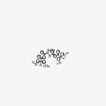 CCOC(C)(OCC)C(=O)OC(=N)CCC(=O)OC(=O)C(C)(OCC)OCC